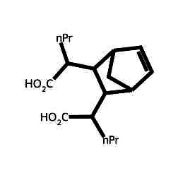 CCCC(C(=O)O)C1C2C=CC(C2)C1C(CCC)C(=O)O